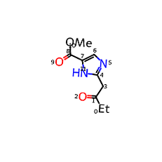 CCC(=O)Cc1ncc(C(=O)OC)[nH]1